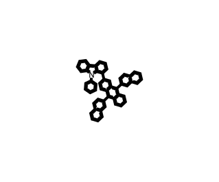 c1ccc(-n2c3ccccc3c3cccc(-c4ccc5c(-c6ccc7ccccc7c6)c6ccccc6c(-c6ccc7ccccc7c6)c5c4)c32)cc1